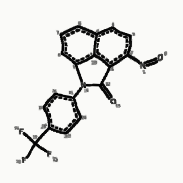 O=Nc1ccc2cccc3c2c1C(=O)N3c1ccc(C(F)(F)F)cc1